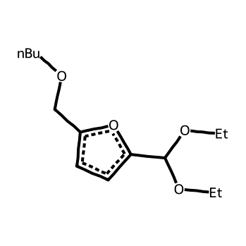 CCCCOCc1ccc(C(OCC)OCC)o1